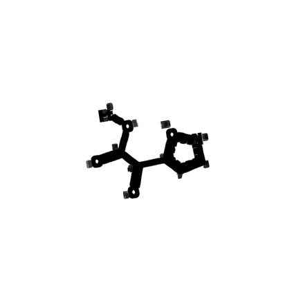 CCOC(=O)C(=O)c1ccno1